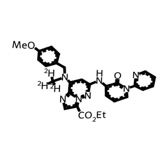 [2H]C([2H])([2H])N(Cc1ccc(OC)cc1)c1cc(Nc2cccn(-c3ccccn3)c2=O)nn2c(C(=O)OCC)cnc12